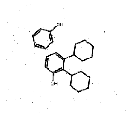 Oc1cccc(C2CCCCC2)c1C1CCCCC1.Oc1ccccc1